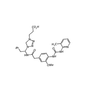 COc1cc(CC(=O)NC(CC(C)C)N2CN(CCC(=O)O)N=N2)ccc1NC(=O)Nc1ncccc1C